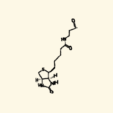 O=[C]CCNC(=O)CCCC[C@@H]1SC[C@@H]2NC(=O)N[C@@H]21